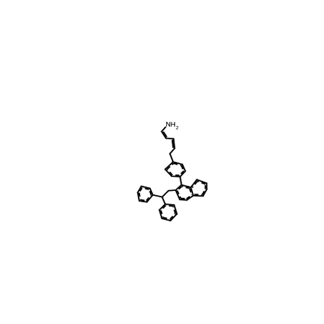 N/C=C\C=C/Cc1ccc(-c2c(CC(c3ccccc3)c3ccccc3)ccc3ccccc23)cc1